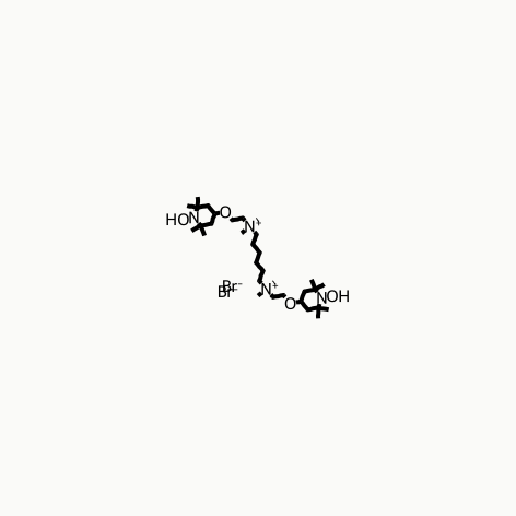 CC1(C)CC(OCC[N+](C)(C)CCCCCC[N+](C)(C)CCOC2CC(C)(C)N(O)C(C)(C)C2)CC(C)(C)N1O.[Br-].[Br-]